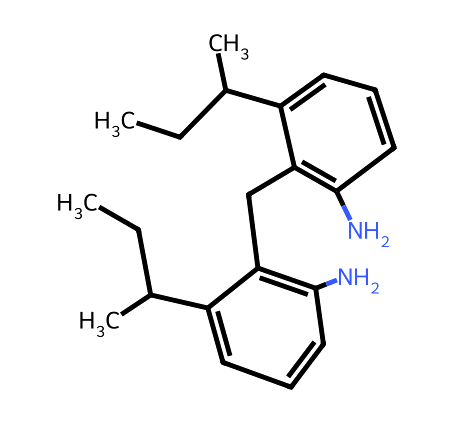 CCC(C)c1cccc(N)c1Cc1c(N)cccc1C(C)CC